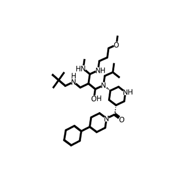 CNC(NCCCOC)C(CNCC(C)(C)C)C(O)N(CC(C)C)[C@@H]1CNC[C@H](C(=O)N2CCC(C3CCCCC3)CC2)C1